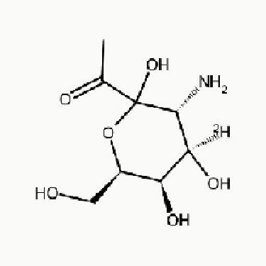 [2H][C@]1(O)[C@@H](O)[C@@H](CO)OC(O)(C(C)=O)[C@@H]1N